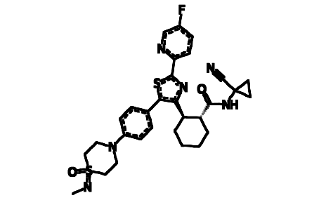 CN=S1(=O)CCN(c2ccc(-c3sc(-c4ccc(F)cn4)nc3[C@@H]3CCCC[C@H]3C(=O)NC3(C#N)CC3)cc2)CC1